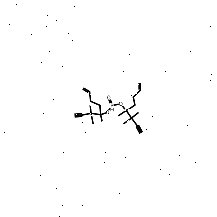 C#CC(C)(C)C(C)(CCC=C)O[PH](=O)OC(C)(CCC=C)C(C)(C)C#C